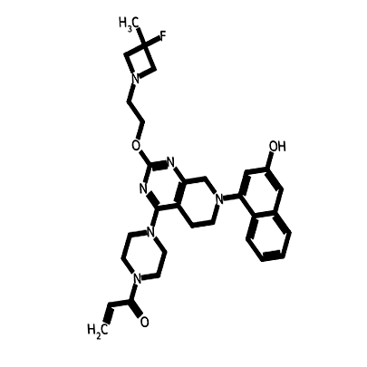 C=CC(=O)N1CCN(c2nc(OCCN3CC(C)(F)C3)nc3c2CCN(c2cc(O)cc4ccccc24)C3)CC1